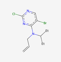 C=CCN(c1nc(Cl)ncc1Br)C(CC)CC